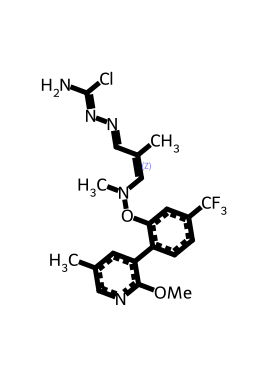 COc1ncc(C)cc1-c1ccc(C(F)(F)F)cc1ON(C)/C=C(/C)C=NN=C(N)Cl